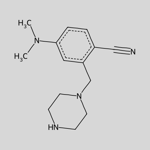 CN(C)c1ccc(C#N)c(CN2CCNCC2)c1